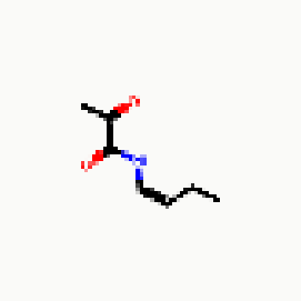 CC/C=C\NC(=O)C(C)=O